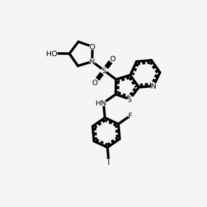 O=S(=O)(c1c(Nc2ccc(I)cc2F)sc2ncccc12)N1CC(O)CO1